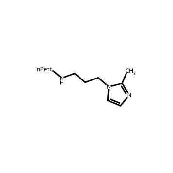 CCCCCNCCCn1ccnc1C